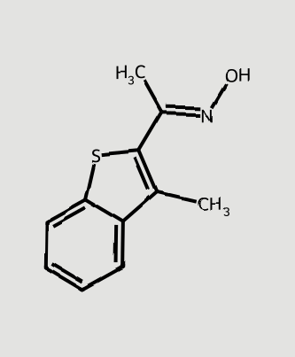 CC(=NO)c1sc2ccccc2c1C